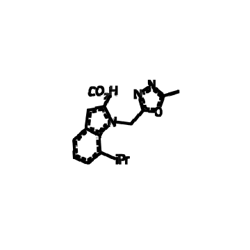 Cc1nnc(Cn2c(C(=O)O)cc3cccc(C(C)C)c32)o1